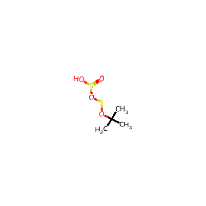 CC(C)(C)OSOS(=O)O